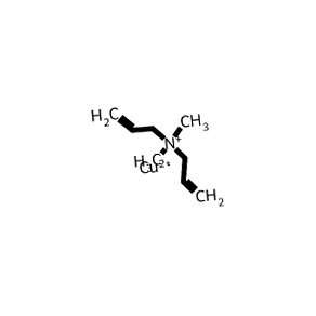 C=CC[N+](C)(C)CC=C.[Cu+2]